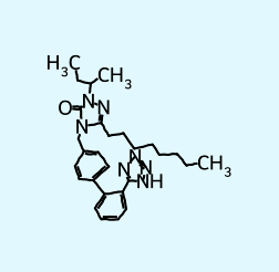 CCCCCCCCc1nn(C(C)CC)c(=O)n1Cc1ccc(-c2ccccc2-c2nnn[nH]2)cc1